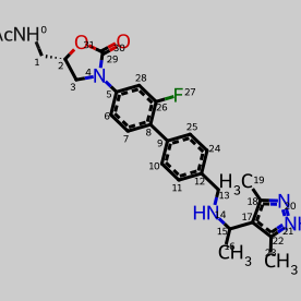 CC(=O)NC[C@H]1CN(c2ccc(-c3ccc(CNC(C)c4c(C)n[nH]c4C)cc3)c(F)c2)C(=O)O1